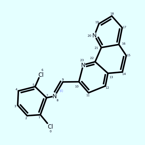 Clc1cccc(Cl)c1/N=C/c1ccc2ccc3cccnc3c2n1